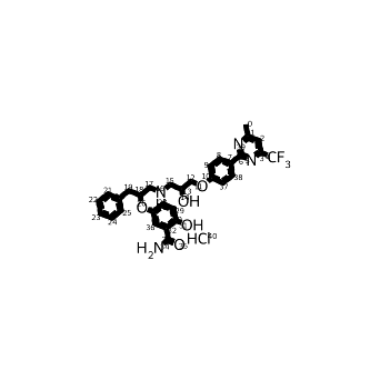 Cc1cc(C(F)(F)F)nc(-c2ccc(OCC(O)CNCC(Cc3ccccc3)Oc3ccc(O)c(C(N)=O)c3)cc2)n1.Cl